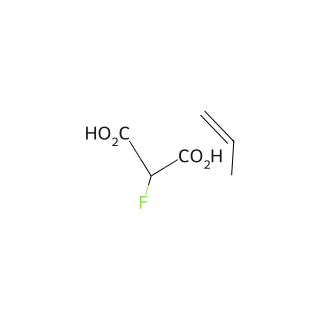 C=CC.O=C(O)C(F)C(=O)O